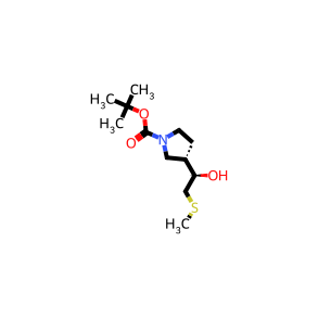 CSC[C@H](O)[C@H]1CCN(C(=O)OC(C)(C)C)C1